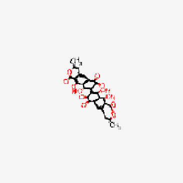 C[C@@H]1Cc2cc3c(c(O)c2C(=O)O1)C(O)=C(C1=C(O)c2c(cc4c(c2O)C(=O)O[C@H](C)C4)C(=O)C1=O)C(=O)C3=O